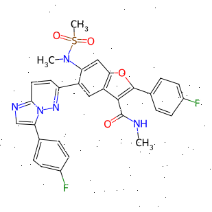 CNC(=O)c1c(-c2ccc(F)cc2)oc2cc(N(C)S(C)(=O)=O)c(-c3ccc4ncc(-c5ccc(F)cc5)n4n3)cc12